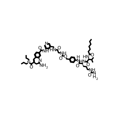 CCCCCCC(=O)N[C@H](C(=O)N[C@@H](CCCNC(N)=O)C(=O)Nc1ccc(COC(=O)NCC(=O)NCc2cncc(NC(=O)c3ccc4c(c3)N=C(N)CC(C(=O)N(CCC)CCC)=C4)c2)cc1)C(C)C